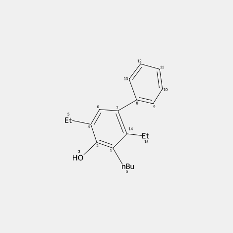 CCCCc1c(O)c(CC)cc(-c2ccccc2)c1CC